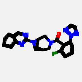 O=C(c1c(F)cccc1-n1nccn1)N1CC2CC(C1)N(c1ncc3ccccc3n1)C2